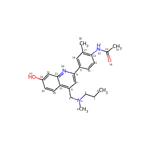 CCCN(C)Cc1cc(-c2ccc(NC(C)=O)c(C)c2)nc2cc(O)ccc12